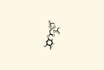 Cc1cc(OC(=O)CP(=O)(OC(C)C)OC(C)C)ccc1F